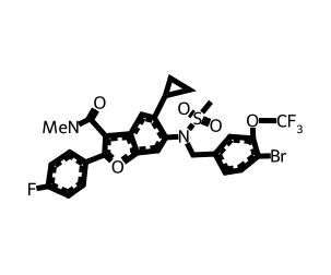 CNC(=O)c1c(-c2ccc(F)cc2)oc2cc(N(Cc3ccc(Br)c(OC(F)(F)F)c3)S(C)(=O)=O)c(C3CC3)cc12